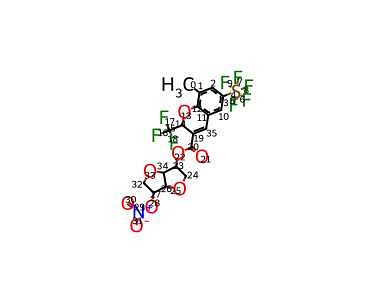 Cc1cc(S(F)(F)(F)(F)F)cc2c1OC(C(F)(F)F)C(C(=O)OC1COC3C(O[N+](=O)[O-])COC13)=C2